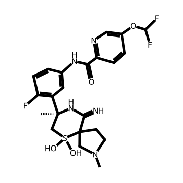 CN1CCC2(C1)C(=N)N[C@](C)(c1cc(NC(=O)c3ccc(OC(F)F)cn3)ccc1F)CS2(O)O